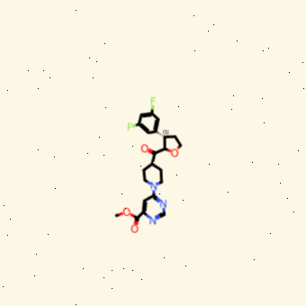 COC(=O)c1cc(N2CCC(C(=O)C3OCC[C@H]3c3cc(F)cc(F)c3)CC2)ncn1